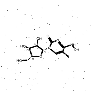 O=c1nc(NO)c(I)cn1[C@@H]1O[C@H](CO)[C@@H](O)[C@H]1O